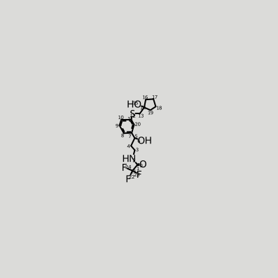 O=C(NCCC(O)c1cccc(SCC2(O)CCCC2)c1)C(F)(F)F